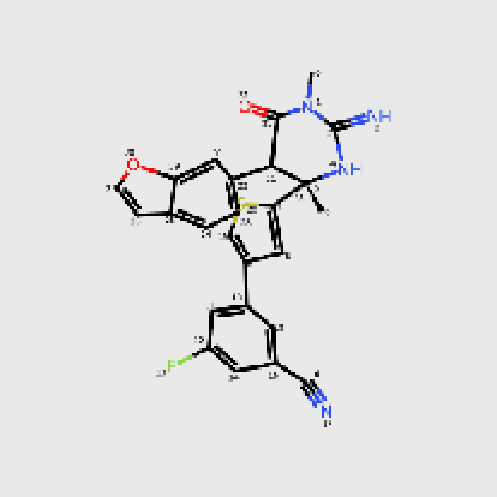 CN1C(=N)N[C@](C)(c2cc(-c3cc(F)cc(C#N)c3)cs2)C(c2ccc3ccoc3c2)C1=O